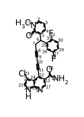 Cn1cccc(C(CC#CC#Cc2c(C(N)=O)cnc3[nH]cc(Cl)c23)c2cc(F)ccc2F)c1=O